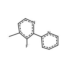 Cc1ccnc(-c2ccccn2)c1F